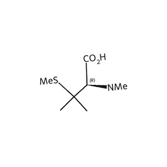 CN[C@H](C(=O)O)C(C)(C)SC